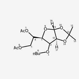 CCCCOC1[C@@H](C(COC(C)=O)OC(C)=O)O[C@@H]2OC(C)(C)O[C@@H]12